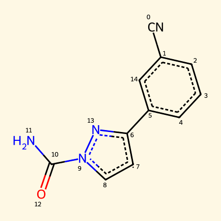 N#Cc1cccc(-c2[c]cn(C(N)=O)n2)c1